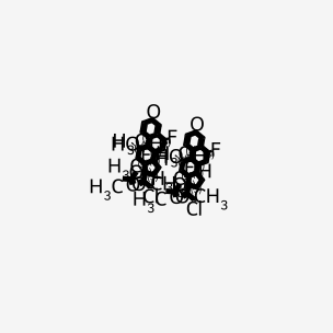 CCC(=O)O[C@]1(C(=O)CCl)[C@@H](C)C[C@H]2[C@@H]3C[C@H](F)C4=CC(=O)C=C[C@]4(C)[C@@]3(F)[C@@H](O)C[C@@]21C.CCC(=O)O[C@]1(C(=O)CCl)[C@@H](C)C[C@H]2[C@@H]3C[C@H](F)C4=CC(=O)C=C[C@]4(C)[C@@]3(F)[C@@H](O)C[C@@]21C